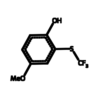 COc1ccc(O)c(SC(F)(F)F)c1